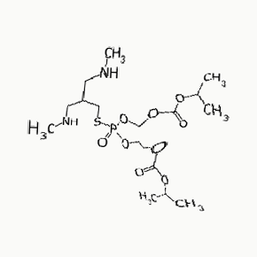 CNCC(CNC)CSP(=O)(OCOC(=O)OC(C)C)OCOC(=O)OC(C)C